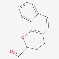 O=CC1CCc2ccc3ccccc3c2O1